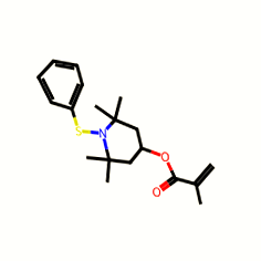 C=C(C)C(=O)OC1CC(C)(C)N(Sc2ccccc2)C(C)(C)C1